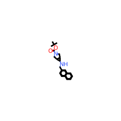 CC(C)(C)OC(=O)N1CC2C(C1)C2NCc1ccc2ccccc2c1